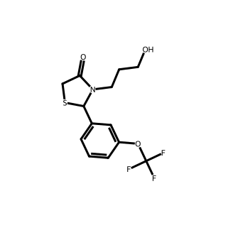 O=C1CSC(c2cccc(OC(F)(F)F)c2)N1CCCO